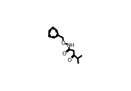 CC(C)C(=O)CC(=O)NOCc1ccccc1